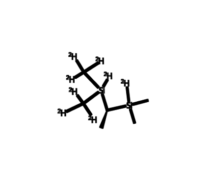 [2H]C([2H])([2H])[Si]([2H])([C@H](C)[Si]([2H])(C)C)C([2H])([2H])[2H]